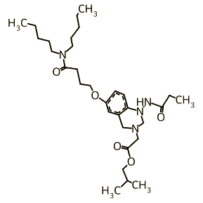 CCCCCN(CCCCC)C(=O)CCCOc1ccc2c(c1)CN(CC(=O)OCC(C)C)CN2NC(=O)CC